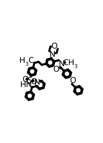 CC(CCc1ccc(CN(C)C(=O)c2ccc(OCc3ccccc3)cc2)c(N2CCOCC2)c1)c1ccc(S(=O)(=O)NC(c2ccccc2)c2ccccn2)cc1